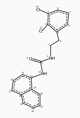 O=C(NCCc1cccc(Cl)c1Cl)Nc1cccc2cnccc12